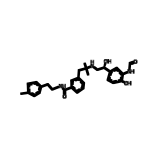 Cc1ccc(CCNC(=O)c2cccc(CC(C)(C)NC[C@@H](O)c3ccc(O)c(NC=O)c3)c2)cc1